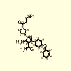 CC(C)C=CC(=O)N1CCC(n2nc(-c3ccc(Oc4ccccc4)cc3)c(C(N)=O)c2N)C1